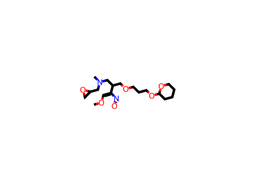 CO/C=C(\N=O)C(COCCCOC1CCCCO1)CN(C)CC1CO1